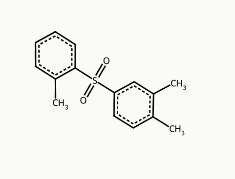 Cc1ccc(S(=O)(=O)c2ccccc2C)cc1C